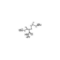 CC(CCC(C(=O)NC(C)C)C(C)CC(C)(C)C)CC(C)(C)C